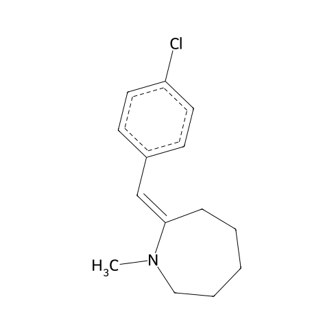 CN1CCCCCC1=Cc1ccc(Cl)cc1